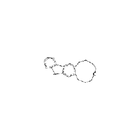 [CH]1c2ccccc2-c2cc3c(cc21)CCCCCCCC3